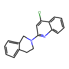 Clc1cc(N2CCc3ccccc3C2)nc2ccccc12